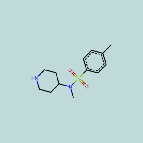 Cc1ccc(S(=O)(=O)N(C)C2CCNCC2)cc1